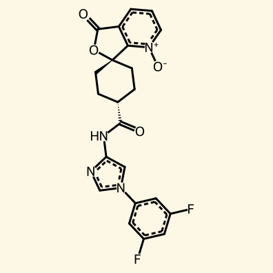 O=C1O[C@]2(CC[C@@H](C(=O)Nc3cn(-c4cc(F)cc(F)c4)cn3)CC2)c2c1ccc[n+]2[O-]